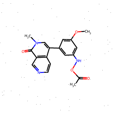 COc1cc(NOC(C)=O)cc(-c2cn(C)c(=O)c3cnccc23)c1